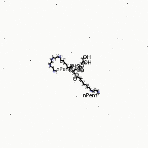 CCCCC/C=C\C/C=C\C/C=C\C/C=C\CCCCCC(=O)O[C@H](COC(=O)CCCCCCC/C=C\C/C=C\CCCCC)COP(=O)(O)OC[C@@H](O)CO